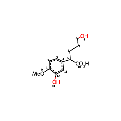 COc1ccc(C(CCCO)C(=O)O)cc1O